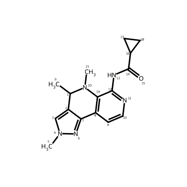 CC1c2cn(C)nc2-c2ccnc(NC(=O)C3CC3)c2N1C